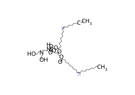 CCCCCCCC/C=C\CCCCCCCC(=O)OCC(COS(=O)(=O)NCCN(CCO)CCO)OC(=O)CCCCCCC/C=C\CCCCCCCC